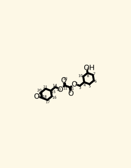 O=C(OCC1CCCC(O)C1)C(=O)OCC1CCC2OC2C1